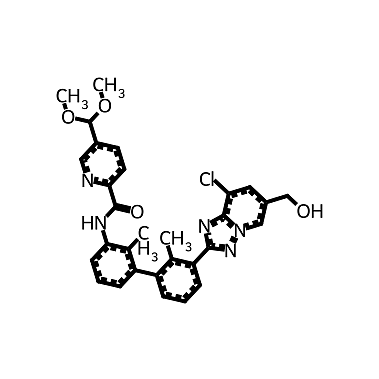 COC(OC)c1ccc(C(=O)Nc2cccc(-c3cccc(-c4nc5c(Cl)cc(CO)cn5n4)c3C)c2C)nc1